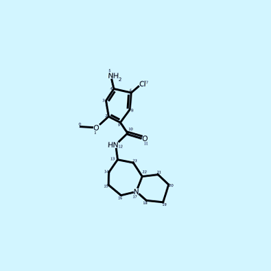 COc1cc(N)c(Cl)cc1C(=O)NC1CCCN2CCCCC2C1